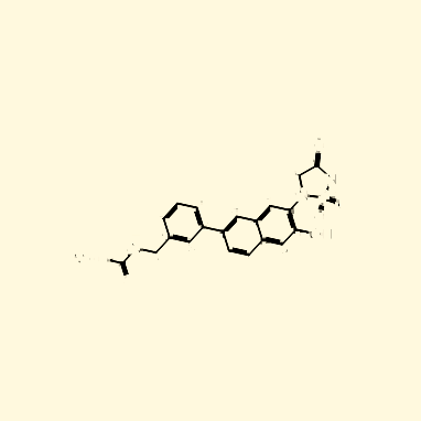 COC(=O)NCc1cccc(-c2ccc3cc(O)c(N4CC(=O)NS4(=O)=O)cc3c2)c1